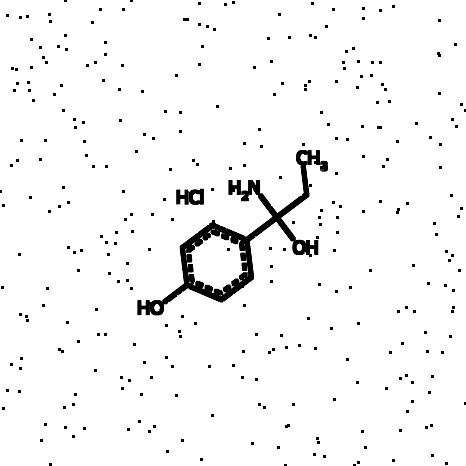 CCC(N)(O)c1ccc(O)cc1.Cl